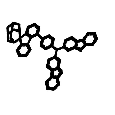 c1ccc2c(c1)-c1c(-c3ccc(N(c4ccc5c(c4)sc4ccccc45)c4ccc5c(c4)sc4ccccc45)cc3)cccc1C21C2CC3CC(C2)CC1C3